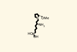 COC[C@H]1CCCN1CC[C@H](N)CCCCB(O)O